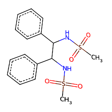 CS(=O)(=O)NC(c1ccccc1)C(NS(C)(=O)=O)c1ccccc1